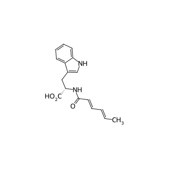 C/C=C/C=C/C(=O)N[C@@H](Cc1c[nH]c2ccccc12)C(=O)O